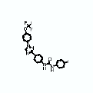 O=C(Nc1ccc(F)cc1)Nc1ccc(-c2ncn(-c3ccc(OC(F)(F)F)cc3)n2)cc1